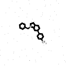 FC(F)(F)c1ccc(-c2ccc3[c]cn(Cc4ccccc4)c3c2)cc1